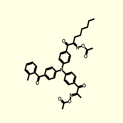 CCCCCCC(=NOC(C)=O)C(=O)c1ccc(N(c2ccc(C(=O)C(C)=NOC(C)=O)cc2)c2ccc(C(=O)c3ccccc3C)cc2)cc1